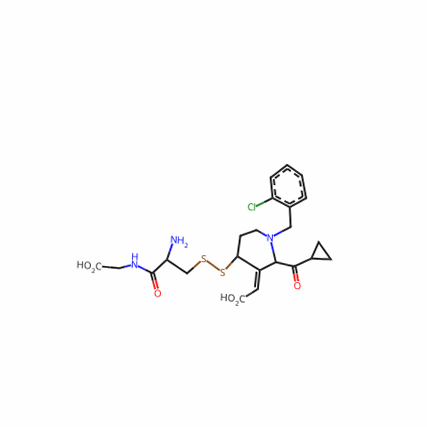 NC(CSSC1CCN(Cc2ccccc2Cl)C(C(=O)C2CC2)/C1=C/C(=O)O)C(=O)NCC(=O)O